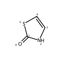 O=c1[nH]c[c]s1